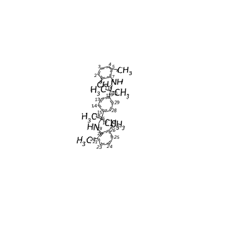 Cc1cccc(C)c1NC(C)(C)c1ccc(C(C)(C)Nc2c(C)cccc2C)cc1